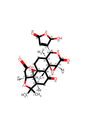 CC1(C)O[C@H]2CC(=O)OC[C@]23[C@H]2CC[C@@]4(C)[C@H](C5=CC(=O)OC5O)OC(=O)[C@H]5O[C@]54[C@]2(C)C(=O)C[C@@H]13